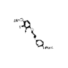 CCCCC[C@H]1CC[C@H](/C=C/COc2ccc(OC)c(F)c2F)CC1